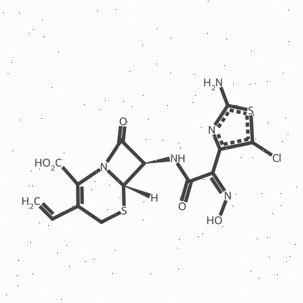 C=CC1=C(C(=O)O)N2C(=O)[C@@H](NC(=O)/C(=N\O)c3nc(N)sc3Cl)[C@@H]2SC1